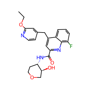 CCOc1cc(Cc2cc(C(=O)N[C@H]3CCOC[C@@H]3O)nc3c(F)cccc23)ccn1